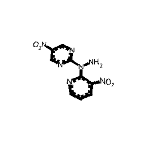 NN(c1ncc([N+](=O)[O-])cn1)c1ncccc1[N+](=O)[O-]